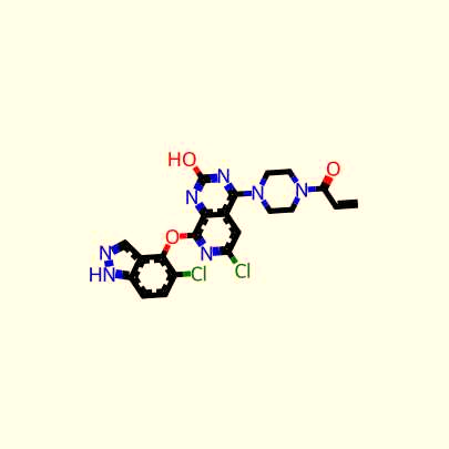 C=CC(=O)N1CCN(c2nc(O)nc3c(Oc4c(Cl)ccc5[nH]ncc45)nc(Cl)cc23)CC1